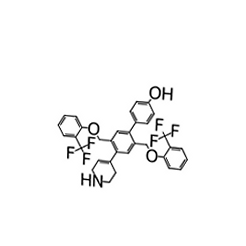 Oc1ccc(-c2cc(COc3ccccc3C(F)(F)F)c(C3=CCNCC3)cc2COc2ccccc2C(F)(F)F)cc1